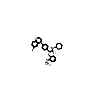 COc1ccccc1C[C@@H](C(=O)NC1CCCCC1)c1ccc(-c2ccnc3ccc(F)cc23)cc1